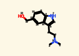 CN(C)CCc1c[nH]c2ccc(CO)cc12